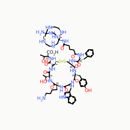 CC(O)[C@H](NC(=O)[C@@H]1CSSC[C@H](NC(=O)[C@@H](Cc2ccccc2)NC(=O)CCCC(=O)N[C@]23CNCCNC[C@](N)(CNCCNC2)NCCN3)C(=O)N[C@@H](Cc2ccc(O)cc2)C(=O)N[C@H](Cc2c[nH]c3ccccc23)C(=O)N[C@@H](CCCCN)C(=O)N[C@@H](C(C)O)C(=O)N1)C(=O)O